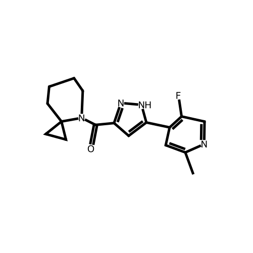 Cc1cc(-c2cc(C(=O)N3CCCCC34CC4)n[nH]2)c(F)cn1